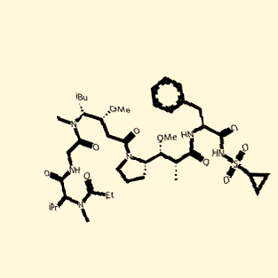 CCC(=O)N(C)C(C(=O)NCC(=O)N(C)[C@@H]([C@@H](C)CC)[C@@H](CC(=O)N1CCC[C@H]1[C@H](OC)[C@@H](C)C(=O)N[C@@H](Cc1ccccc1)C(=O)NS(=O)(=O)C1CC1)OC)C(C)C